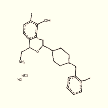 Cc1ccccc1CN1CCC(C2Cc3c(ccc(C)c3O)C(CN)O2)CC1.Cl.Cl